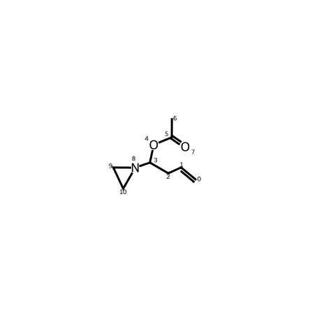 C=CCC(OC(C)=O)N1CC1